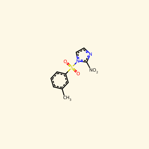 Cc1cccc(S(=O)(=O)n2ccnc2[N+](=O)[O-])c1